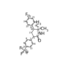 CC1(C)NC(=O)C(c2ccc(C(F)(F)F)cc2)CC1c1ccc(F)cc1